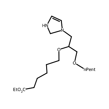 CCCCCOCC(CN1C=CNC1)OCCCCCC(=O)OCC